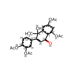 CC(=O)Oc1cc(OC(C)=O)c2c(c1)C(C)(C)C(c1ccc(OC(C)=O)c(OC(C)=O)c1)=CC2=O